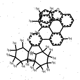 [2H]c1ccc(-c2nnnc(C3([2H])C([2H])C([2H])([2H])C([2H])([2H])C([2H])([2H])C3([2H])[2H])c2C2([2H])C([2H])C([2H])([2H])C([2H])([2H])C([2H])([2H])C2([2H])[2H])c(-c2c([2H])c([2H])c([2H])c([2H])c2[2H])c1-c1cccc2oc3ccccc3c12